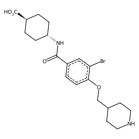 O=C(N[C@H]1CC[C@H](C(=O)O)CC1)c1ccc(OCC2CCNCC2)c(Br)c1